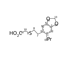 CC(C)c1cc2c(cc1CCSCC(=O)O)OCO2